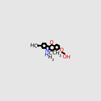 C#Cc1ccc2c3c([nH]c2c1)C(C)(C)c1cc(OCCO)ccc1C3=O